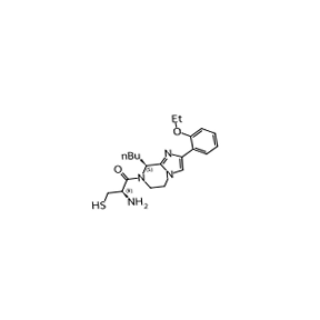 CCCC[C@H]1c2nc(-c3ccccc3OCC)cn2CCN1C(=O)[C@@H](N)CS